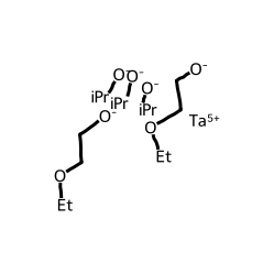 CC(C)[O-].CC(C)[O-].CC(C)[O-].CCOCC[O-].CCOCC[O-].[Ta+5]